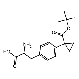 CC(C)(C)OC(=O)C1(c2ccc(C[C@H](N)C(=O)O)cc2)CC1